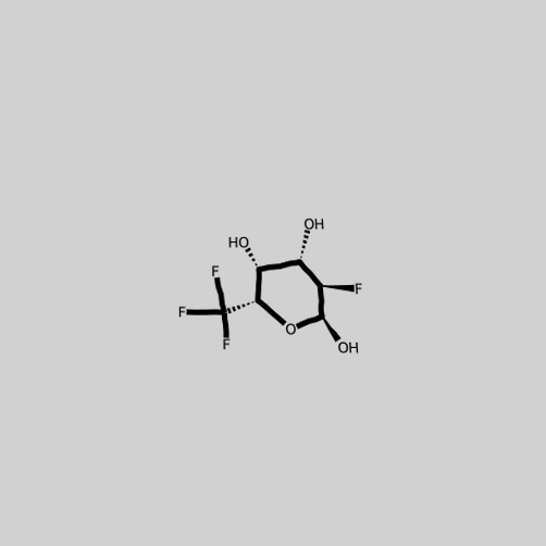 O[C@@H]1[C@H](O)[C@@H](F)[C@@H](O)O[C@@H]1C(F)(F)F